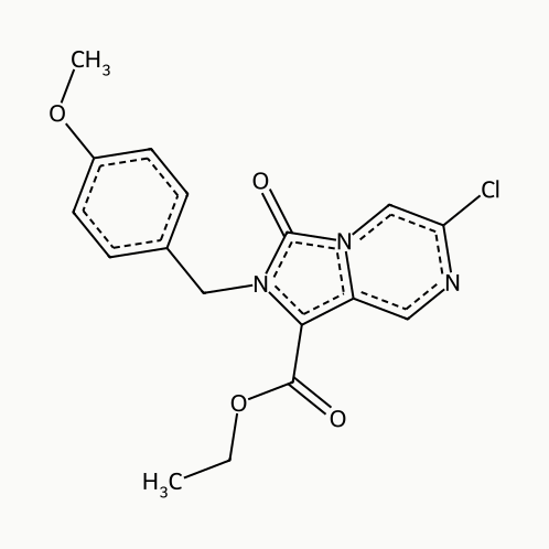 CCOC(=O)c1c2cnc(Cl)cn2c(=O)n1Cc1ccc(OC)cc1